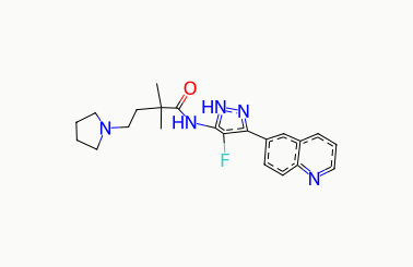 CC(C)(CCN1CCCC1)C(=O)Nc1[nH]nc(-c2ccc3ncccc3c2)c1F